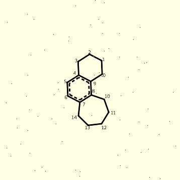 [CH]1CCCc2ccc3c(c21)CCCCC3